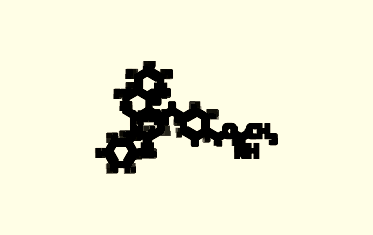 CC(=N)OCc1ccc(CN(Cc2nc3ccccc3[nH]2)C2CCCc3cccnc32)cc1